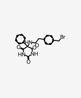 O=C(Cc1ccc(CBr)cc1)NC1(c2ccccc2)C(=O)NC(=O)NC1=O